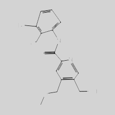 COCc1cc(C(=O)Nc2cccc(Br)c2Cl)ncc1CO